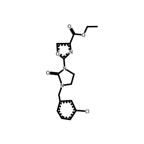 CCOC(=O)c1coc(N2CCN(Cc3cccc(Cl)c3)C2=O)n1